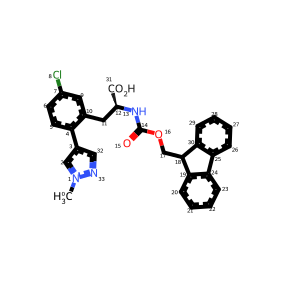 Cn1cc(-c2ccc(Cl)cc2C[C@H](NC(=O)OCC2c3ccccc3-c3ccccc32)C(=O)O)cn1